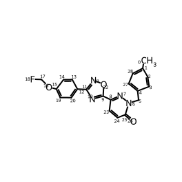 Cc1ccc(Cn2nc(-c3nc(-c4ccc(OCF)cc4)no3)ccc2=O)cc1